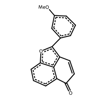 COc1cccc(-c2oc3cccc4c3c2C=CC4=O)c1